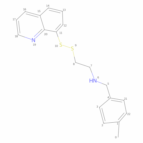 Cc1ccc(CNCCSSc2cccc3cccnc23)cc1